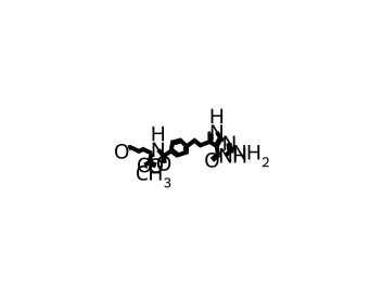 COC(=O)C(CCC=O)NC(=O)c1ccc(CCc2c[nH]c3nc(N)[nH]c(=O)c23)cc1